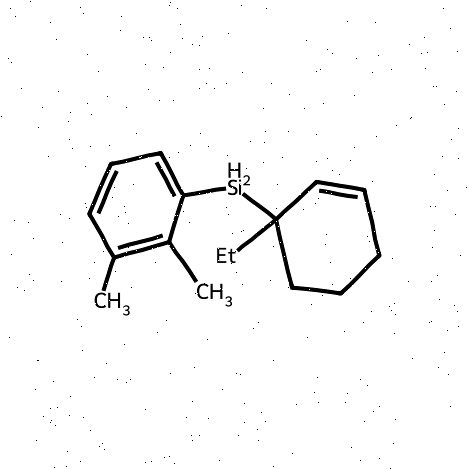 CCC1([SiH2]c2cccc(C)c2C)C=CCCC1